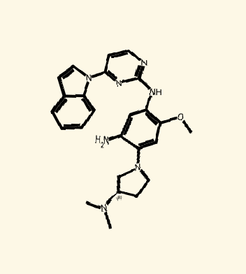 COc1cc(N2CC[C@@H](N(C)C)C2)c(N)cc1Nc1nccc(-n2ccc3ccccc32)n1